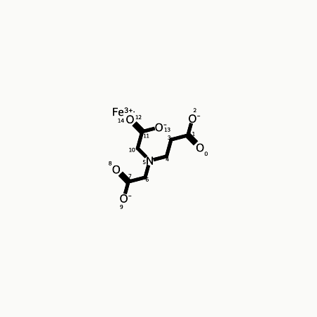 O=C([O-])CCN(CC(=O)[O-])CC(=O)[O-].[Fe+3]